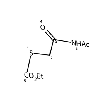 CCOC(=O)SCC(=O)NC(C)=O